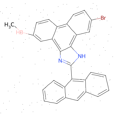 CBc1ccc2c3ccc(Br)cc3c3[nH]c(-c4c5ccccc5cc5ccccc45)nc3c2c1